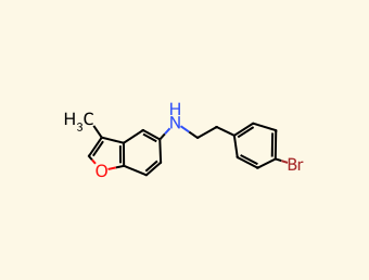 Cc1coc2ccc(NCCc3ccc(Br)cc3)cc12